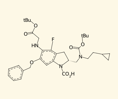 CC(C)(C)OC(=O)CNc1c(OCc2ccccc2)cc2c(c1F)C[C@H](CN(CCC1CC1)C(=O)OC(C)(C)C)N2C(=O)O